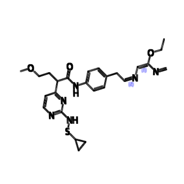 C=N/C(=C\N=C/Cc1ccc(NC(=O)C(CCOC)c2ccnc(NSC3CC3)n2)cc1)OCC